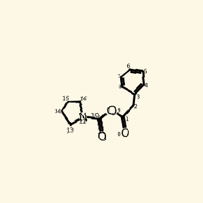 O=C(Cc1ccccc1)OC(=O)N1CCCC1